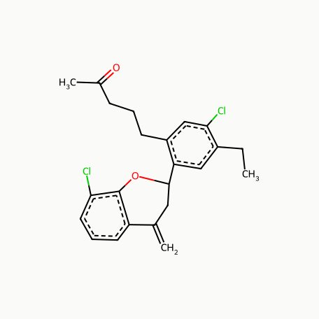 C=C1CC(c2cc(CC)c(Cl)cc2CCCC(C)=O)Oc2c(Cl)cccc21